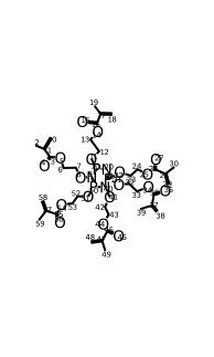 C=C(C)C(=O)OCCON1P(OCCOC(=O)C(=C)C)N=P(OCCOC(=O)C(=C)C)(OCCOC(=O)C(=C)C)N(OCCOC(=O)C(=C)C)P1OCCOC(=O)C(=C)C